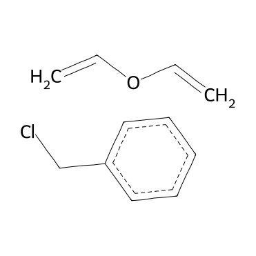 C=COC=C.ClCc1ccccc1